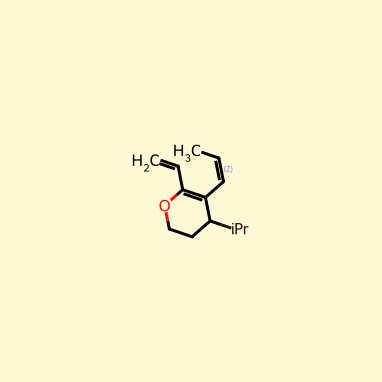 C=CC1=C(/C=C\C)C(C(C)C)CCO1